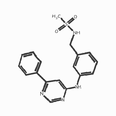 CS(=O)(=O)NCc1cccc(Nc2cc(-c3ccccc3)ncn2)c1